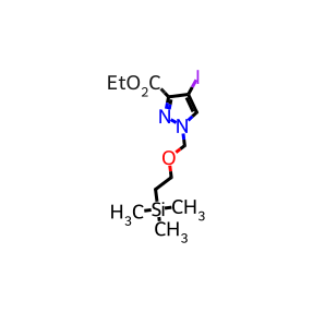 CCOC(=O)c1nn(COCC[Si](C)(C)C)cc1I